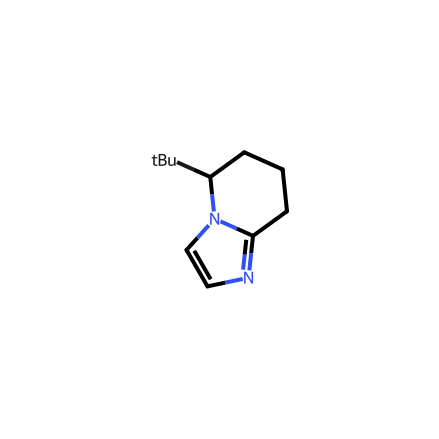 CC(C)(C)C1CCCc2nccn21